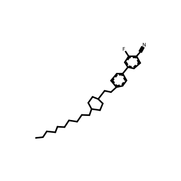 CCCCCCCCCCC1CCC(CCc2ccc(-c3ccc(C#N)c(F)c3)cc2)CC1